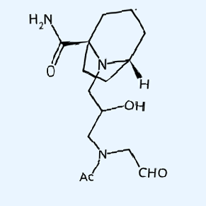 CC(=O)N(CC=O)CC(O)CN1[C@@H]2C[CH]C[C@@]1(C(N)=O)CC2